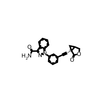 NC(=O)c1nn(-c2cccc(C#C[C@]34CC3COC4=O)c2)c2ccccc12